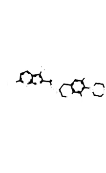 Cc1ccc2c(N)c(C(=O)N[C@H]3COc4c(cc(F)c(N5CCNCC5)c4F)C3)sc2n1